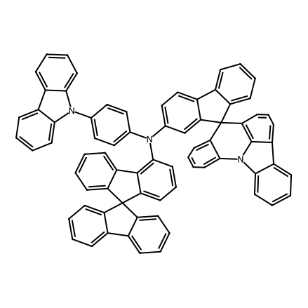 c1ccc2c(c1)-c1ccccc1C21c2ccccc2-c2c(N(c3ccc(-n4c5ccccc5c5ccccc54)cc3)c3ccc4c(c3)C3(c5ccccc5-4)c4ccccc4-n4c5ccccc5c5cccc3c54)cccc21